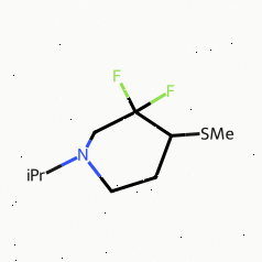 CSC1CCN(C(C)C)CC1(F)F